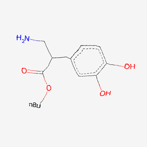 CCCCOC(=O)C(CN)c1ccc(O)c(O)c1